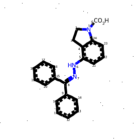 O=C(O)N1CCc2c(NN=C(c3ccccc3)c3ccccc3)cccc21